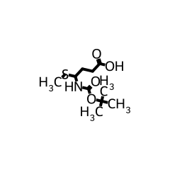 CSC(CCC(=O)O)NC(=O)OC(C)(C)C